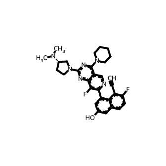 C#Cc1c(F)ccc2cc(O)cc(-c3ncc4c(N5CCCCC5)nc(N5CC[C@H](N(C)C)C5)nc4c3F)c12